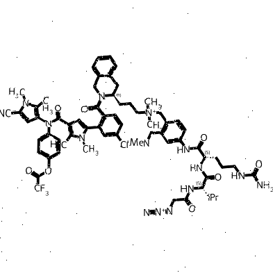 CNCc1cc(NC(=O)[C@H](CCCNC(N)=O)NC(=O)[C@@H](NC(=O)CN=[N+]=[N-])C(C)C)ccc1C[N+](C)(C)CCC[C@@H]1Cc2ccccc2CN1C(=O)c1ccc(Cl)cc1-c1cc(C(=O)N(c2ccc(OC(=O)C(F)(F)F)cc2)c2cc(C#N)n(C)c2C)c(C)n1C